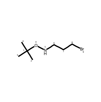 CC(C)(C)ONCCCBr